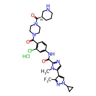 Cl.Cn1c(-c2cn(C3CC3)nc2C(F)(F)F)cnc1C(=O)Nc1ccc(C(=O)N2CCN(C(=O)[C@@H]3CCCNC3)CC2)c(Cl)c1